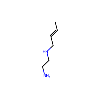 CC=CCNCCN